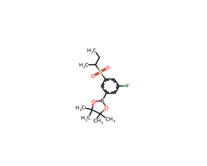 CCC(C)S(=O)(=O)c1cc(F)cc(B2OC(C)(C)C(C)(C)O2)c1